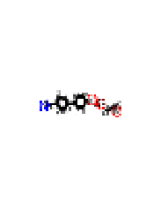 N#Cc1ccc(-c2ccc(OCOCC3CO3)cc2)cc1